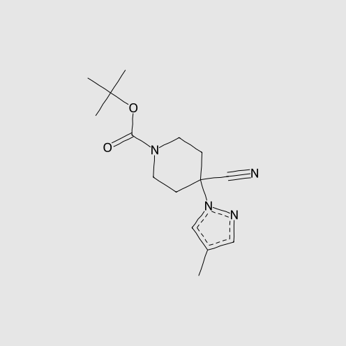 Cc1cnn(C2(C#N)CCN(C(=O)OC(C)(C)C)CC2)c1